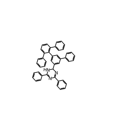 c1ccc(C2=NC(c3cc(-c4ccccc4)cc(-c4c(-c5ccccc5)cccc4-c4ccccc4)c3)NC(c3ccccc3)=N2)cc1